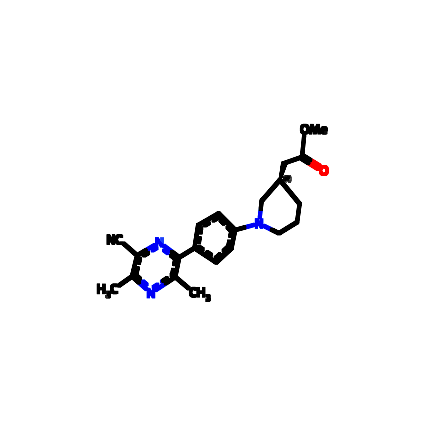 COC(=O)C[C@H]1CCCN(c2ccc(-c3nc(C#N)c(C)nc3C)cc2)C1